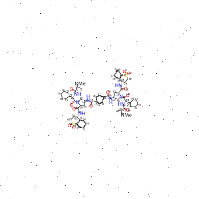 CN[C@@H](C)C(=O)N[C@H](C(=O)N1C[C@@H](NC(=O)c2ccc(C(=O)N[C@H]3C[C@@H](C(=O)N[C@H]4CCS(=O)(=O)c5ccccc54)N(C(=O)[C@@H](NC(=O)[C@H](C)NC)C4CCCCC4)C3)cc2)C[C@H]1C(=O)N[C@H]1CCS(=O)(=O)c2ccccc21)C1CCCCC1